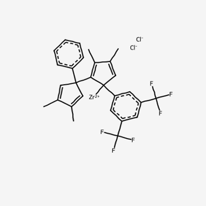 CC1=CC(C2=C(C)C(C)=C[C]2([Zr+2])c2cc(C(F)(F)F)cc(C(F)(F)F)c2)(c2ccccc2)C=C1C.[Cl-].[Cl-]